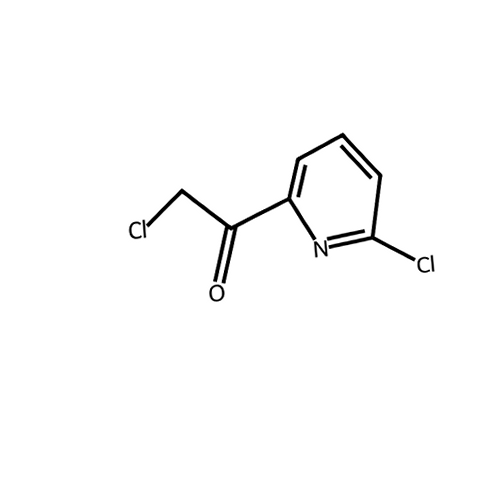 O=C(CCl)c1cccc(Cl)n1